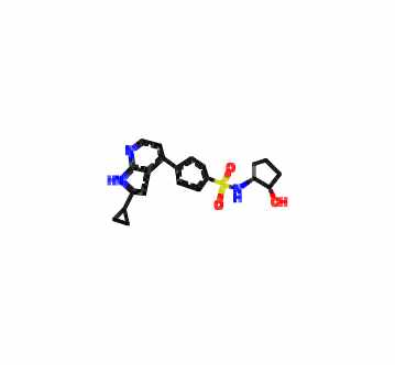 O=S(=O)(N[C@H]1CCC[C@H]1O)c1ccc(-c2ccnc3[nH]c(C4CC4)cc23)cc1